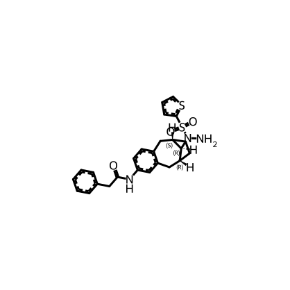 NN([C@H]1[C@@H]2CC[C@H]1Cc1ccc(NC(=O)Cc3ccccc3)cc1C2)S(=O)(=O)c1cccs1